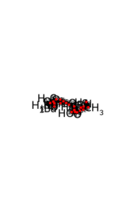 Cc1ncsc1-c1ccc(CNC(=O)[C@@H]2C[C@@H](O)CN2C(=O)C(NC(=O)CC/C=C/c2ccc(COC(C)C(CCC(N)=O)NC(=O)OC(C)(C)C)cc2)C(C)(C)C)cc1